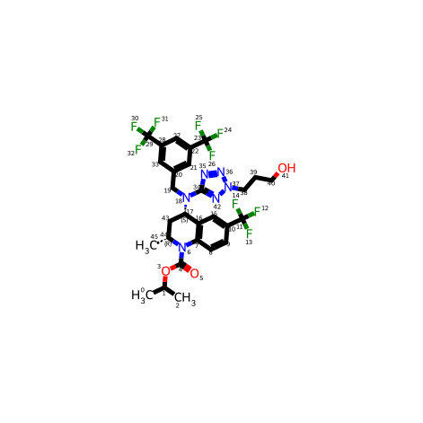 CC(C)OC(=O)N1c2ccc(C(F)(F)F)cc2[C@@H](N(Cc2cc(C(F)(F)F)cc(C(F)(F)F)c2)c2nnn(CCCO)n2)C[C@H]1C